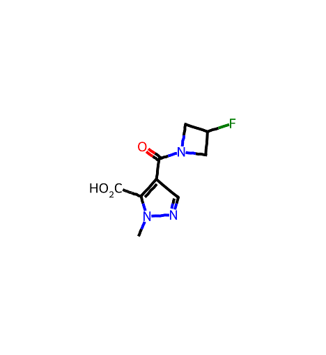 Cn1ncc(C(=O)N2CC(F)C2)c1C(=O)O